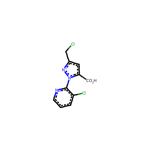 O=C(O)c1cc(CCl)nn1-c1ncccc1Cl